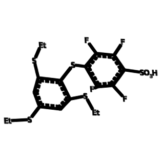 CCSc1cc(SCC)c(Sc2c(F)c(F)c(S(=O)(=O)O)c(F)c2F)c(SCC)c1